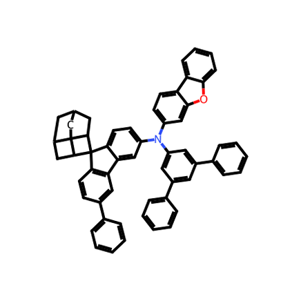 c1ccc(-c2cc(-c3ccccc3)cc(N(c3ccc4c(c3)-c3cc(-c5ccccc5)ccc3C43C4CC5CC6CC3C64C5)c3ccc4c(c3)oc3ccccc34)c2)cc1